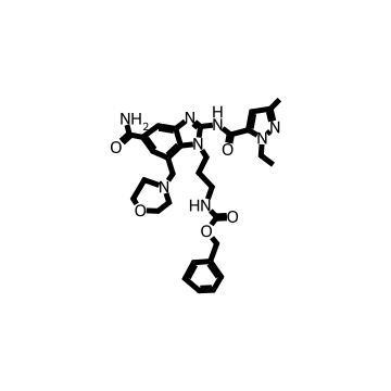 CCn1nc(C)cc1C(=O)Nc1nc2cc(C(N)=O)cc(CN3CCOCC3)c2n1CCCNC(=O)OCc1ccccc1